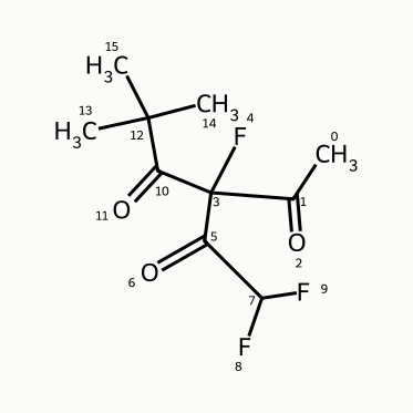 CC(=O)C(F)(C(=O)C(F)F)C(=O)C(C)(C)C